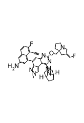 C#Cc1c(F)ccc2cc(N)cc(-c3cc4nc(OC[C@@]56CCCN5C/C(=C\F)C6)nc(N5C[C@H]6CC[C@@H](C5)N6)c4c4cn(C)nc34)c12